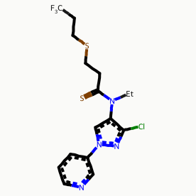 CCN(C(=S)CCSCCC(F)(F)F)c1cn(-c2cccnc2)nc1Cl